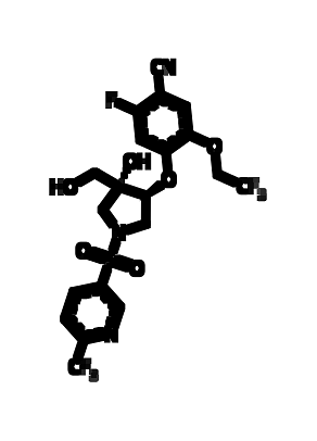 N#Cc1cc(OCC(F)(F)F)c(O[C@H]2CN(S(=O)(=O)c3ccc(C(F)(F)F)nc3)C[C@@]2(O)CO)cc1F